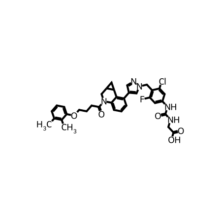 Cc1cccc(OCCCC(=O)N2CC3CC3c3c(-c4cnn(Cc5c(F)cc(NC(=O)NCC(=O)O)cc5Cl)c4)cccc32)c1C